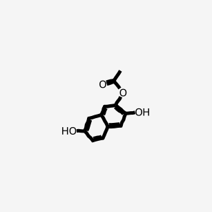 CC(=O)Oc1cc2cc(O)ccc2cc1O